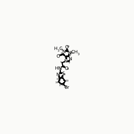 Cn1c(=O)c2c(ncn2CC(=O)Nc2nc3ccc(Br)cc3s2)n(C)c1=O